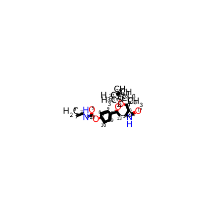 C=CCNC(=O)Oc1ccc(C(=O)C[C@H]2NC(=O)[C@@H]2[C@@H](C)O[Si](C)(C)C(C)(C)C)cc1